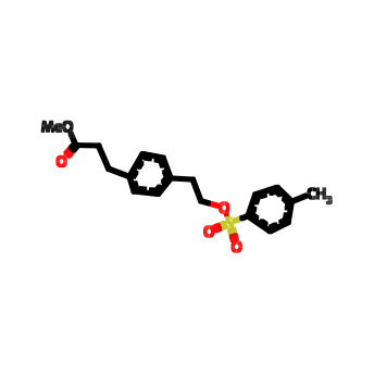 COC(=O)CCc1ccc(CCOS(=O)(=O)c2ccc(C)cc2)cc1